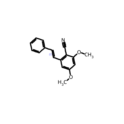 COc1cc(/C=C/c2ccccc2)c(C#N)c(OC)c1